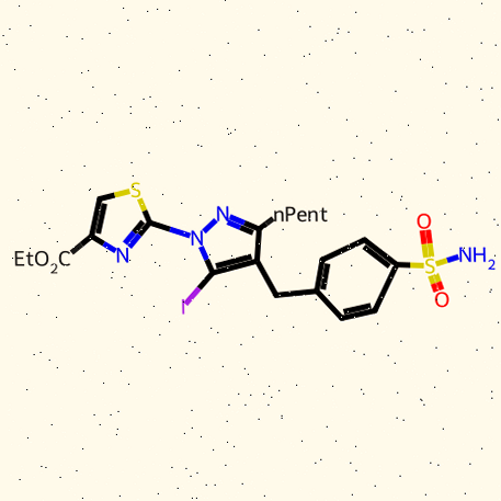 CCCCCc1nn(-c2nc(C(=O)OCC)cs2)c(I)c1Cc1ccc(S(N)(=O)=O)cc1